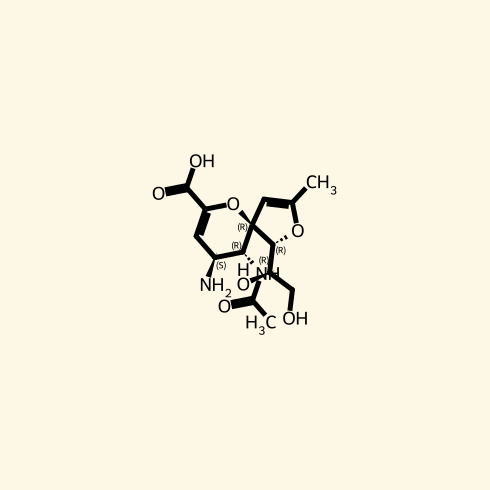 CC(=O)N[C@@H]1[C@@H](N)C=C(C(=O)O)O[C@]12C=C(C)O[C@@H]2[C@H](O)CO